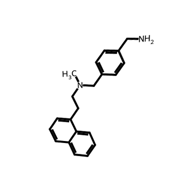 CN(CCc1cccc2ccccc12)Cc1ccc(CN)cc1